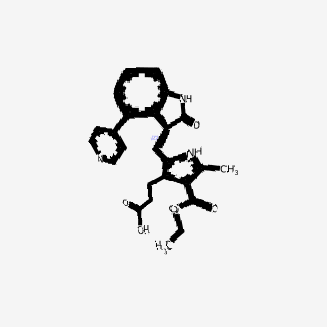 CCOC(=O)c1c(C)[nH]c(/C=C2\C(=O)Nc3cccc(-c4ccncc4)c32)c1CCC(=O)O